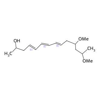 COC(C)CC(C/C=C/C=C/C=C/CC(C)O)OC